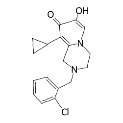 O=c1c(O)cn2c(c1C1CC1)CN(Cc1ccccc1Cl)CC2